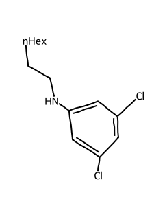 CCCCCCCCNc1cc(Cl)cc(Cl)c1